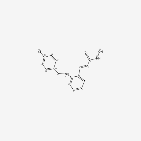 O=C(/C=C/c1ccccc1NCc1ccc(Cl)cc1)NO